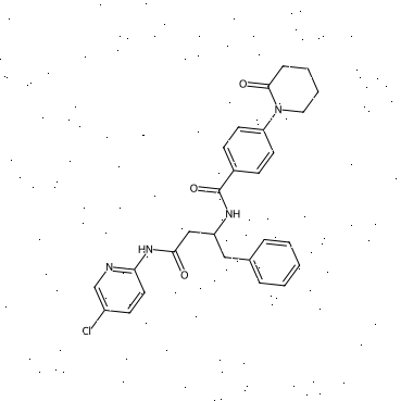 O=C(CC(Cc1ccccc1)NC(=O)c1ccc(N2CCCCC2=O)cc1)Nc1ccc(Cl)cn1